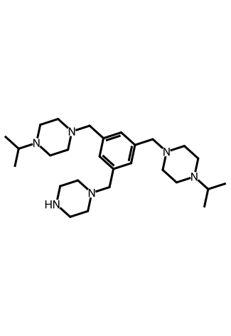 CC(C)N1CCN(Cc2cc(CN3CCNCC3)cc(CN3CCN(C(C)C)CC3)c2)CC1